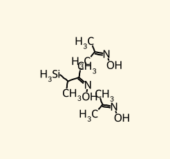 CC(=NO)C(C)[SiH3].CC(C)=NO.CC(C)=NO